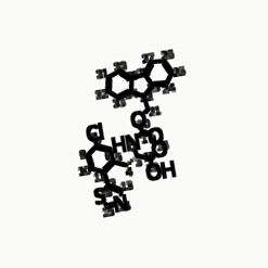 O=C(N[C@@H](Cc1cc(Cl)ccc1-c1cncs1)C(=O)O)OCC1c2ccccc2-c2ccccc21